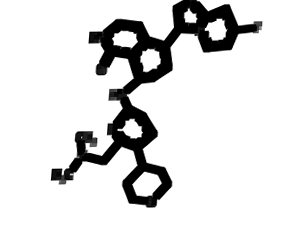 CN(C)Cc1nc(Nc2ccc(-c3cnc4cc(F)ccn34)c3cc[nH]c(=O)c23)ccc1C1CCOCC1